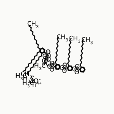 CC(C)[O-].CCCCCCCCCCCCc1ccc(S(=O)(=O)[O][Ti](=[O])[O]C(C)C)c(CCCCCCCCCCCC)c1CCCCCCCCCCCC.CCCCCCCCCCCCc1ccccc1S(=O)(=O)[O-].CCCCCCCCCCCCc1ccccc1S(=O)(=O)[O-].CCCCCCCCCCCCc1ccccc1S(=O)(=O)[O-].[Ti+4]